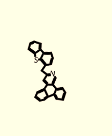 c1ccc2c(c1)sc1c(Cc3cc4c5ccccc5c5ccccc5c4cn3)cccc12